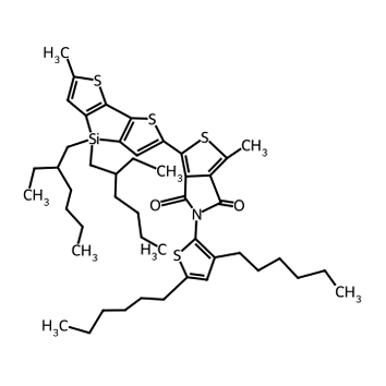 CCCCCCc1cc(CCCCCC)c(N2C(=O)c3c(C)sc(-c4cc5c(s4)-c4sc(C)cc4[Si]5(CC(CC)CCCC)CC(CC)CCCC)c3C2=O)s1